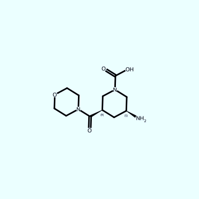 N[C@H]1C[C@@H](C(=O)N2CCOCC2)CN(C(=O)O)C1